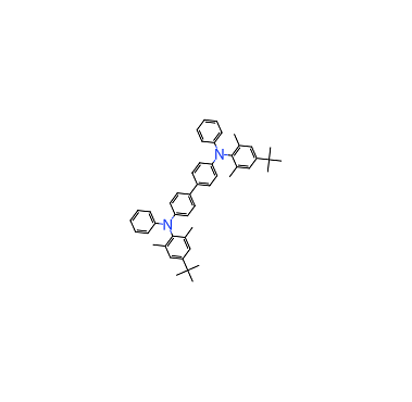 Cc1cc(C(C)(C)C)cc(C)c1N(c1ccccc1)c1ccc(-c2ccc(N(c3ccccc3)c3c(C)cc(C(C)(C)C)cc3C)cc2)cc1